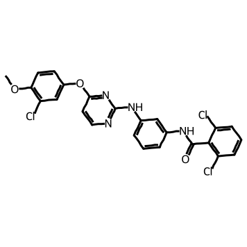 COc1ccc(Oc2ccnc(Nc3cccc(NC(=O)c4c(Cl)cccc4Cl)c3)n2)cc1Cl